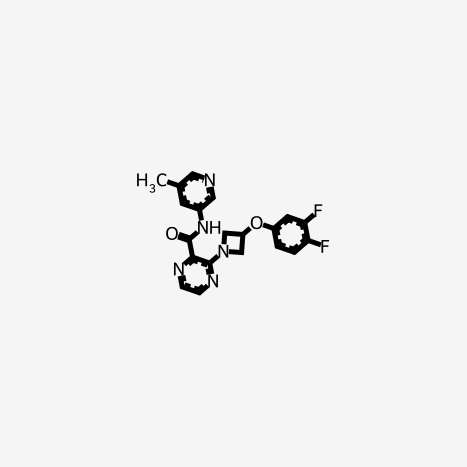 Cc1cncc(NC(=O)c2nccnc2N2CC(Oc3ccc(F)c(F)c3)C2)c1